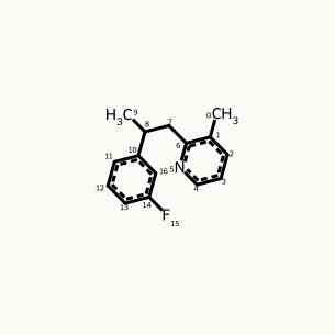 Cc1cccnc1CC(C)c1cccc(F)c1